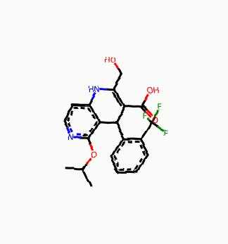 CC(C)Oc1nccc2c1C(c1ccccc1C(F)(F)F)C(C(=O)O)=C(CO)N2